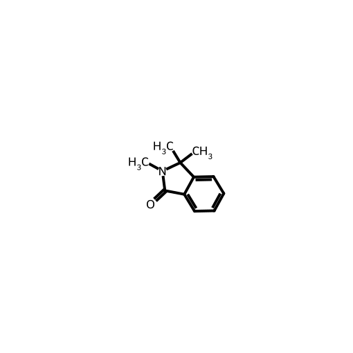 CN1C(=O)c2ccccc2C1(C)C